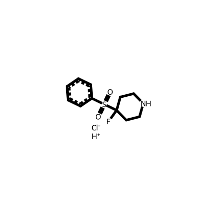 O=S(=O)(c1ccccc1)C1(F)CCNCC1.[Cl-].[H+]